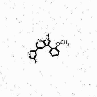 COc1ccccc1-c1c[nH]c2ncc(-c3cncc(F)c3)cc12